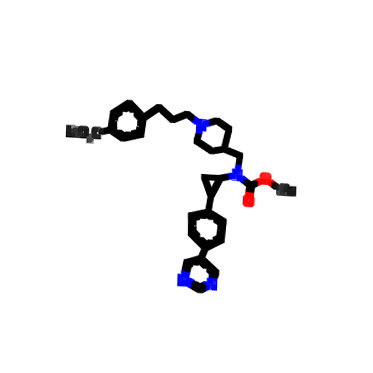 CCOC(=O)c1ccc(CCCN2CCC(CN(C(=O)OC(C)(C)C)C3CC3c3ccc(-c4cncnc4)cc3)CC2)cc1